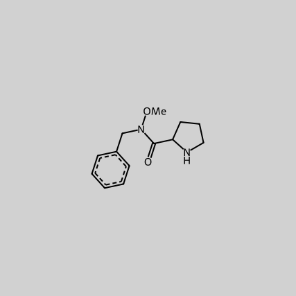 CON(Cc1ccccc1)C(=O)C1CCCN1